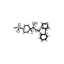 CS(=O)(=O)N1CCC2(CC1)C[C@@H]([C@@H]1c3ccccc3-c3cncn31)[C@@H]2O